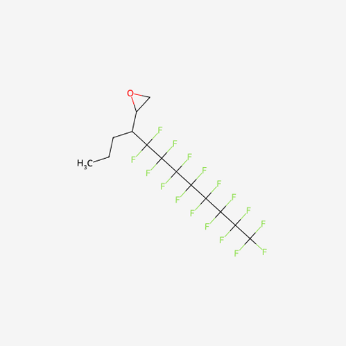 CCCC(C1CO1)C(F)(F)C(F)(F)C(F)(F)C(F)(F)C(F)(F)C(F)(F)C(F)(F)C(F)(F)F